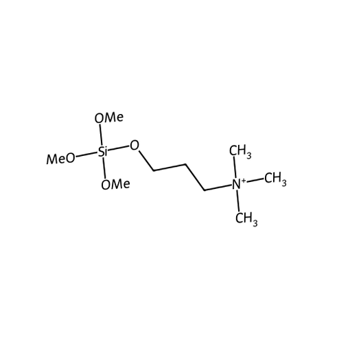 CO[Si](OC)(OC)OCCC[N+](C)(C)C